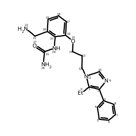 CCc1c(-c2ccccc2)ncn1CCCOc1cccc(CN)c1NC(N)=O